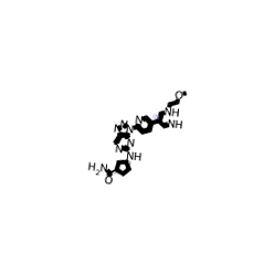 COCCN/C=C(\C=N)c1ccc(-n2nnc3cnc(N[C@@H]4CC[C@@H](C(N)=O)C4)nc32)nc1